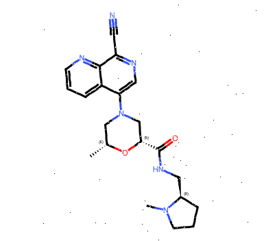 C[C@@H]1CN(c2cnc(C#N)c3ncccc23)C[C@H](C(=O)NC[C@H]2CCCN2C)O1